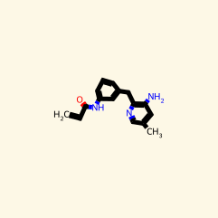 C=CC(=O)Nc1cccc(Cc2ncc(C)cc2N)c1